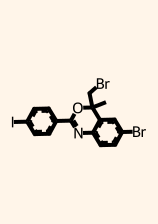 CC1(CBr)OC(c2ccc(I)cc2)=Nc2ccc(Br)cc21